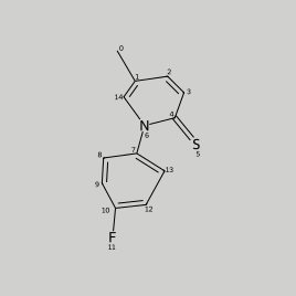 Cc1ccc(=S)n(-c2ccc(F)cc2)c1